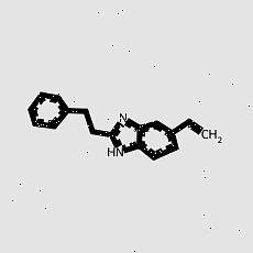 C=Cc1ccc2[nH]c(CCc3ccccc3)nc2c1